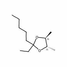 CCCCCC1(CC)O[C@@H](C)[C@H](C)O1